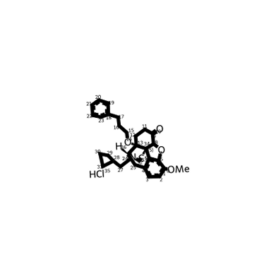 COc1ccc2c3c1OC1C(=O)CC[C@@]4(OCCCc5ccccc5)[C@@H](C2)N(CC2CCC2)CC[C@]314.Cl